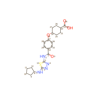 O=C(Nc1nnc(NC2CCCC2)s1)c1ccc(OC2CCC(C(=O)O)CC2)cc1